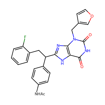 CC(=O)Nc1ccc(C(Cc2ccccc2F)c2nc3c([nH]2)c(=O)[nH]c(=O)n3Cc2ccoc2)cc1